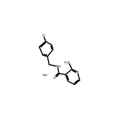 Nc1ncccc1C(=O)NCc1ccc([O-])cc1.[Na+]